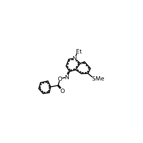 CCn1cc/c(=N\OC(=O)c2ccccc2)c2cc(SC)ccc21